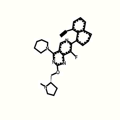 C#Cc1cccc2cccc(-c3ncc4c(N5CCCCC5)nc(OC[C@@H]5CCCN5C)nc4c3F)c12